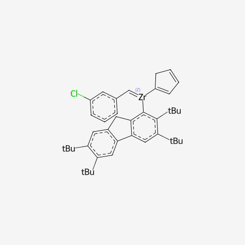 CC(C)(C)c1cc2c(cc1C(C)(C)C)-c1cc(C(C)(C)C)c(C(C)(C)C)[c](/[Zr](=[CH]\c3cccc(Cl)c3)[C]3=CC=CC3)c1C2